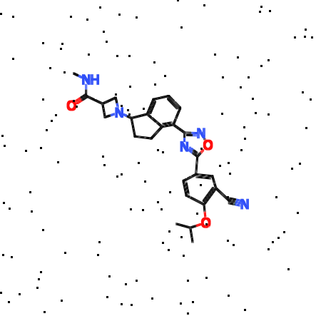 CNC(=O)C1CN(C2CCc3c(-c4noc(-c5ccc(OC(C)C)c(C#N)c5)n4)cccc32)C1